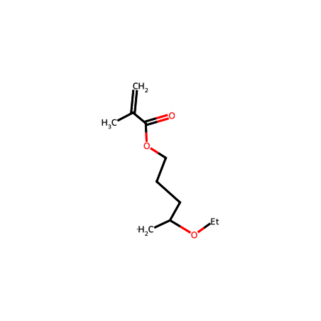 [CH2]C(CCCOC(=O)C(=C)C)OCC